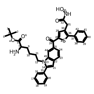 CC(C)(C)OC(=O)C(N)CCCCn1c(-c2ccccc2)cc2ccc(C(=O)c3cc(CC(=O)NO)c(-c4ccccc4)s3)cc21